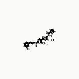 Cc1nc(NCCCc2cccc(O)c2)ncc1C(=O)N[C@@H](CNC(=O)c1cccs1)C(=O)O